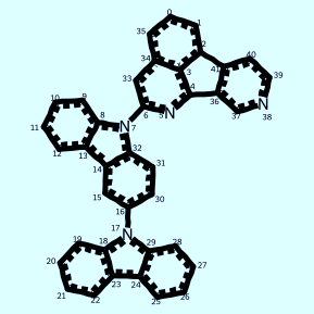 c1cc2c3c(nc(-n4c5ccccc5c5cc(-n6c7ccccc7c7ccccc76)ccc54)cc3c1)-c1cnccc1-2